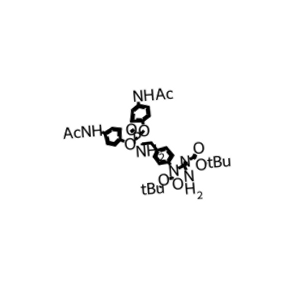 CC(=O)Nc1ccc(OP(=O)(Oc2ccc(NC(C)=O)cc2)C(N)Cc2ccc(N(C(=O)OC(C)(C)C)C(N)=NC(=O)OC(C)(C)C)cc2)cc1